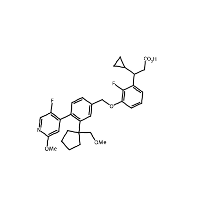 COCC1(c2cc(COc3cccc(C(CC(=O)O)C4CC4)c3F)ccc2-c2cc(OC)ncc2F)CCCC1